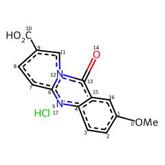 COc1ccc2nc3ccc(C(=O)O)cn3c(=O)c2c1.Cl